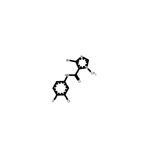 Cn1cnc(Br)c1C(=O)Nc1ccc(F)c(Cl)c1